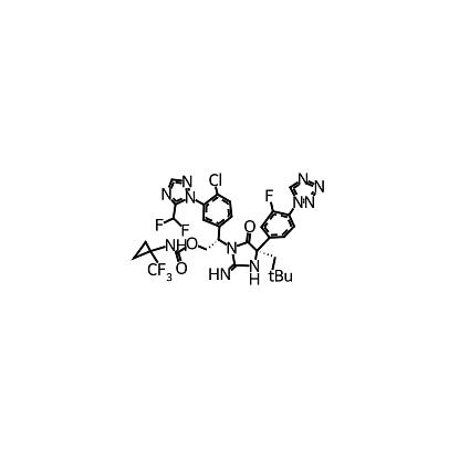 CC(C)(C)C[C@]1(c2ccc(-n3cnnn3)c(F)c2)NC(=N)N([C@H](COC(=O)NC2(C(F)(F)F)CC2)c2ccc(Cl)c(-n3ncnc3C(F)F)c2)C1=O